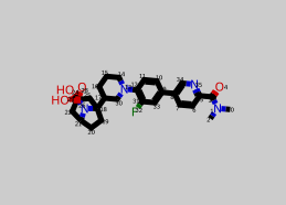 CN(C)C(=O)c1ccc(-c2ccc(N3CCCC(C45CCC(CC(O)C4)N5C(=O)O)C3)c(F)c2)cn1